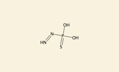 N=NP(O)(O)=S